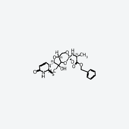 C[C@H](NP1(=O)OC[C@H]2O[C@@H](n3ccc(=O)[nH]c3=S)C(C)(O)C2O1)C(=O)OCc1ccccc1